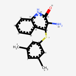 Cc1cc(C)cc(Sc2c(N)c(=O)[nH]c3ccccc23)c1